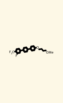 COCCCCOc1ccc(-c2ccc(-c3ccc(C(F)(F)F)c(F)c3)cc2)cc1